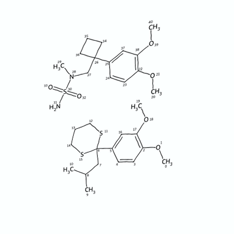 COc1ccc(C2(CC(C)C)SCCCS2)cc1OC.COc1ccc(C2(CN(C)S(N)(=O)=O)CCC2)cc1OC